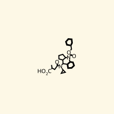 CC(CC(=O)N(C1CC1)C1c2ccccc2N(C(=O)OCc2ccccc2)C2CCCC21)C(=O)O